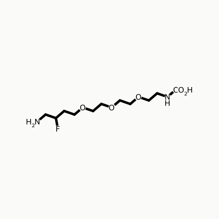 NCC(F)CCOCCOCCOCCNC(=O)O